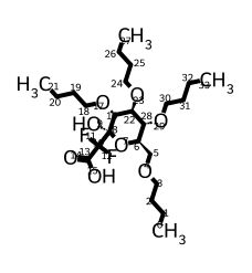 CCCCOC[C@H]1O[C@@](O)(C(F)(F)C(=O)O)[C@H](OCCCC)[C@@H](OCCCC)[C@@H]1OCCCC